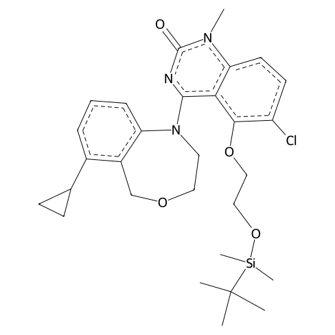 Cn1c(=O)nc(N2CCOCc3c(C4CC4)cccc32)c2c(OCCO[Si](C)(C)C(C)(C)C)c(Cl)ccc21